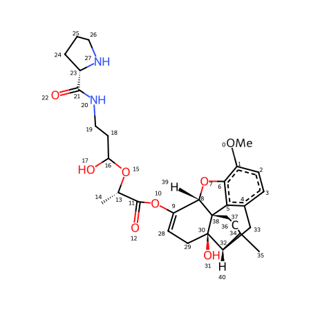 COc1ccc2c3c1O[C@H]1C(OC(=O)[C@H](C)OC(O)CCNC(=O)[C@@H]4CCCN4)=CC[C@@]4(O)[C@@H](C2)C(C)CC[C@]314